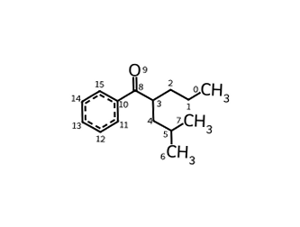 CCCC(CC(C)C)C(=O)c1ccccc1